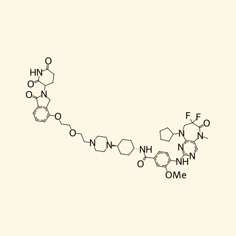 COc1cc(C(=O)N[C@H]2CC[C@H](N3CCN(CCOCCOc4cccc5c4CN(C4CCC(=O)NC4=O)C5=O)CC3)CC2)ccc1Nc1ncc2c(n1)N(C1CCCC1)CC(F)(F)C(=O)N2C